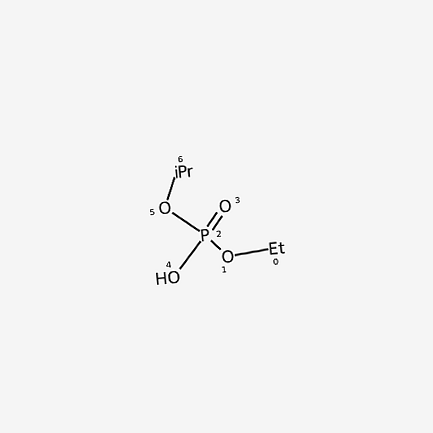 CCOP(=O)(O)OC(C)C